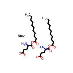 CCCCCCCCCCC(=O)OC(=O)C(N)CCC(=O)[O-].CCCCCCCCCCC(=O)OC(=O)C(N)CCC(=O)[O-].[Na+].[Na+]